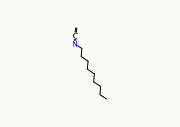 C=C=NCCCCCCCCC